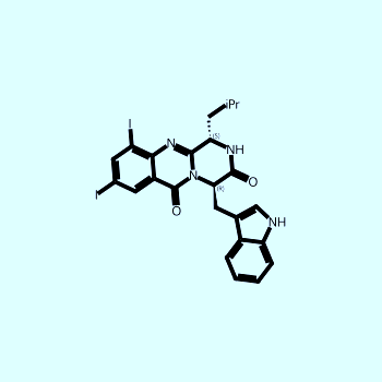 CC(C)C[C@@H]1NC(=O)[C@@H](Cc2c[nH]c3ccccc23)n2c1nc1c(I)cc(I)cc1c2=O